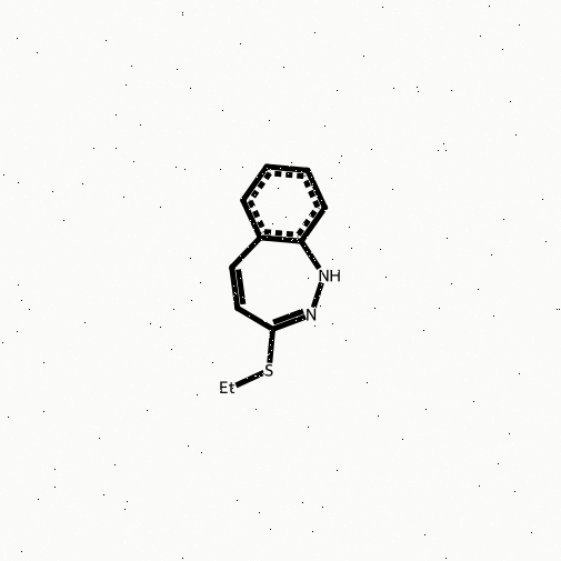 CCSC1=NNc2ccccc2C=C1